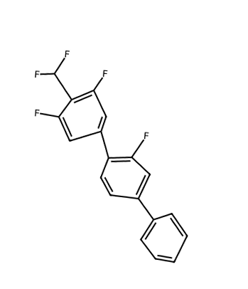 Fc1cc(-c2ccccc2)ccc1-c1cc(F)c(C(F)F)c(F)c1